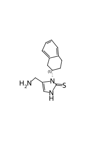 NCc1c[nH]c(=S)n1[C@H]1CCc2ccccc2C1